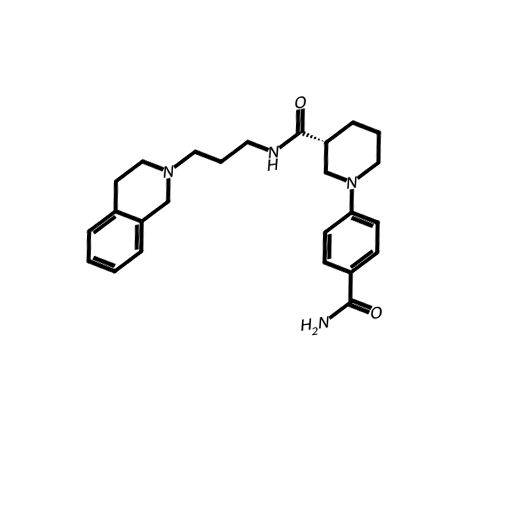 NC(=O)c1ccc(N2CCC[C@@H](C(=O)NCCCN3CCc4ccccc4C3)C2)cc1